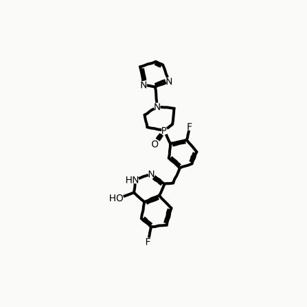 O=P1(c2cc(CC3=NNC(O)c4cc(F)ccc43)ccc2F)CCN(c2ncccn2)CC1